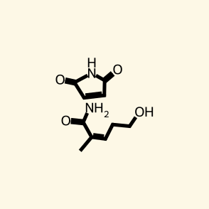 CC(=CCCO)C(N)=O.O=C1C=CC(=O)N1